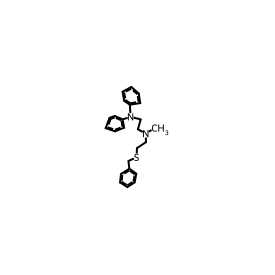 CN(CCSCc1ccccc1)CCN(c1ccccc1)c1ccccc1